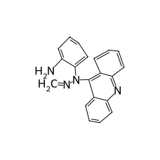 C=NN(c1ccccc1N)c1c2ccccc2nc2ccccc12